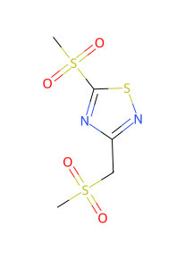 CS(=O)(=O)Cc1nsc(S(C)(=O)=O)n1